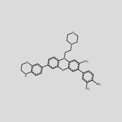 Cc1cc(-c2cc3c(cc2C)N(CCN2CCOCC2)c2ccc(-c4ccc5c(c4)OCCN5)cc2S3)ccc1N